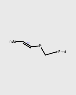 CCCC/C=C/[P]CCCCCC